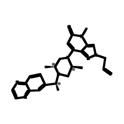 C=CCn1cc2c(n1)c(N1C[C@@H](C)N([C@H](C)c3ccc4nccnc4c3)C[C@@H]1C)cc(=O)n2C